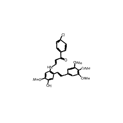 COc1cc(NC=CC(=O)c2ccc(Cl)cc2)c(C=Cc2cc(OC)c(OC)c(OC)c2)cc1O